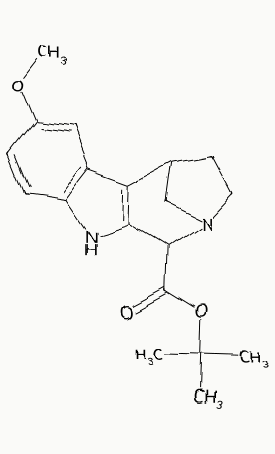 COc1ccc2[nH]c3c(c2c1)C1CCN(C1)C3C(=O)OC(C)(C)C